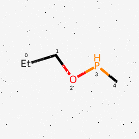 CCCOPC